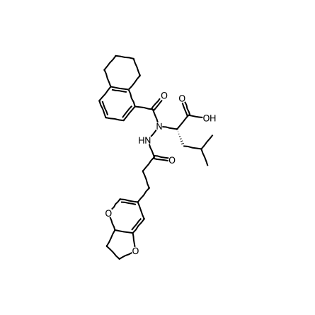 CC(C)C[C@@H](C(=O)O)N(NC(=O)CCC1=COC2CCOC2=C1)C(=O)c1cccc2c1CCCC2